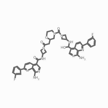 Nc1ncc(C(=O)NC2CN(C(=O)CC3CN(C(=O)N4CC(NC(O)c5cnc(N)c6nc(-c7cccc(F)c7)ccc56)C4)CCO3)C2)c2ccc(-c3cccc(F)c3)nc12